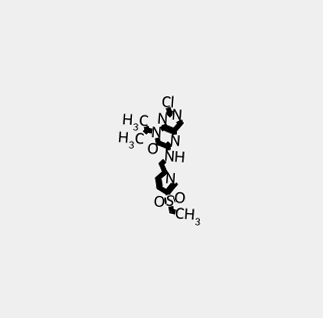 CCS(=O)(=O)c1ccc(CNc2nc3cnc(Cl)nc3n(C(C)C)c2=O)nc1